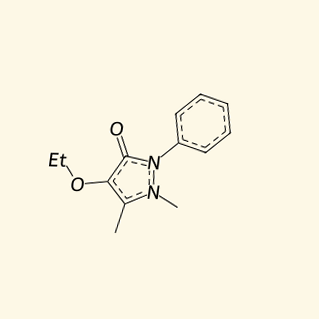 CCOc1c(C)n(C)n(-c2ccccc2)c1=O